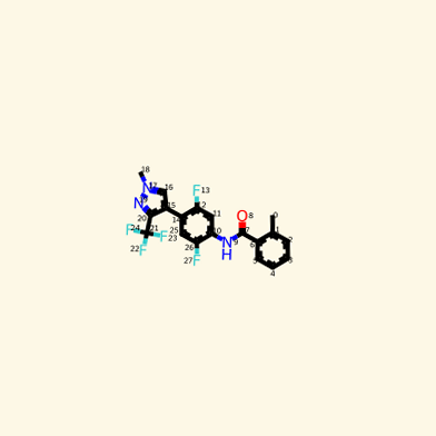 Cc1ccccc1C(=O)Nc1cc(F)c(-c2cn(C)nc2C(F)(F)F)cc1F